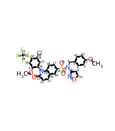 COc1ccc(CN(c2ccon2)S(=O)(=O)c2ccc3c(ccc(=O)n3-c3cc(Cl)c(SC(F)(F)F)cc3OC)c2)cc1